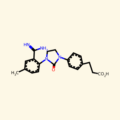 Cc1ccc(N2CCN(c3ccc(CCC(=O)O)cc3)C2=O)c(C(=N)N)c1